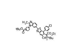 CCOC(=O)[C@@H](OC(C)(C)C)c1c(C)cc2nc(-c3ccc4nc(C)n([C@@H]5CCN(C(=O)OC(C)(C)C)C5)c4c3)sc2c1-c1ccc(Cl)cc1